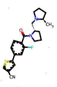 C[C@@H]1CCCN1C[C@@H]1CCCN1C(=O)c1ccc(-c2cc(C#N)cs2)cc1F